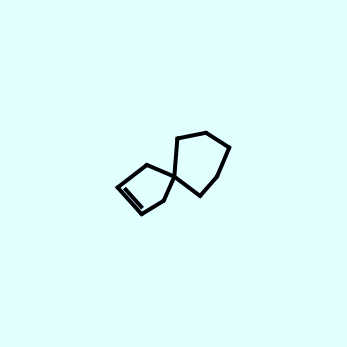 C1=CCC2(C1)CCCCC2